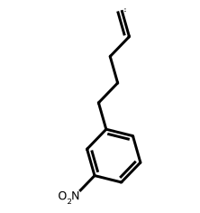 [C]=CCCCc1cccc([N+](=O)[O-])c1